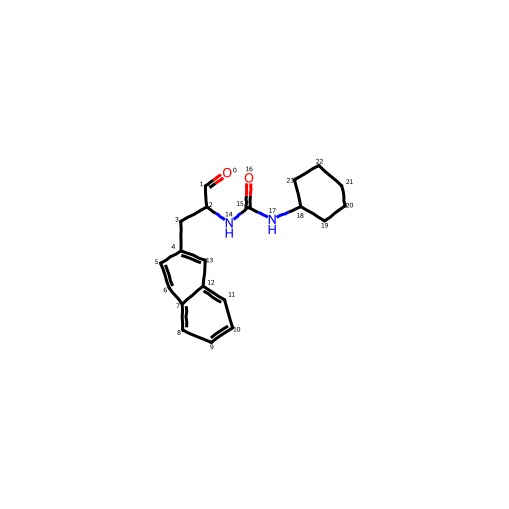 O=[C]C(Cc1ccc2ccccc2c1)NC(=O)NC1CCCCC1